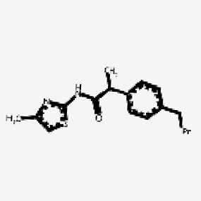 Cc1csc(NC(=O)C(C)c2ccc(CC(C)C)cc2)n1